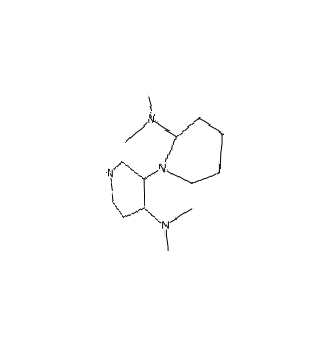 CN(C)C1CC[N]CC1N1CCCCC1N(C)C